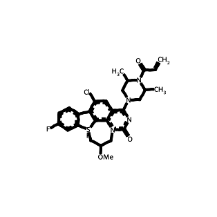 C=CC(=O)N1C(C)CN(c2nc(=O)n3c4c5c(c(Cl)cc24)-c2ccc(F)cc2S5(F)CC(OC)C3)CC1C